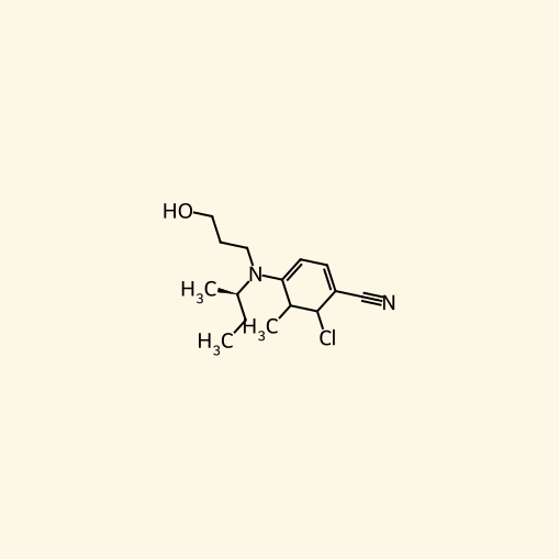 CC[C@@H](C)N(CCCO)C1=CC=C(C#N)C(Cl)C1C